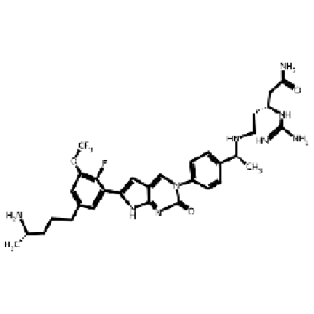 C[C@H](N)CCCc1cc(OC(F)(F)F)c(F)c(-c2cc3cn(-c4ccc([C@H](C)NCC[C@H](CC(N)=O)NC(=N)N)cc4)c(=O)nc3[nH]2)c1